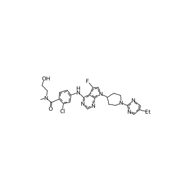 CCc1cnc(N2CCC(n3cc(F)c4c(Nc5ccc(C(=O)N(C)CCO)c(Cl)c5)ncnc43)CC2)nc1